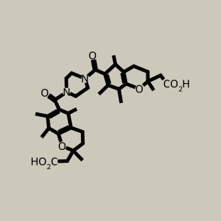 CC1=C(C(=O)N2CCN(C(=O)C3=C(C)C(C)C4=C(CCC(C)(CC(=O)O)O4)C3C)CC2)C(C)C2=C(OC(C)(CC(=O)O)CC2)C1C